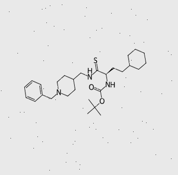 CC(C)(C)OC(=O)N[C@H](CCC1CCCCC1)C(=S)NCC1CCN(Cc2ccccc2)CC1